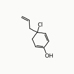 C=CCC1(Cl)C=CC(O)=CC1